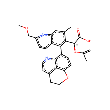 C=C(C)O[C@H](C(=O)O)c1c(C)cc2nc(COC)ccc2c1-c1ccc2c3c(ccnc13)CCO2